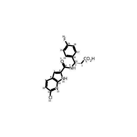 O=C(O)C[C@H](NC(=O)c1cc2ccc(Cl)nc2[nH]1)c1ccc(F)cc1